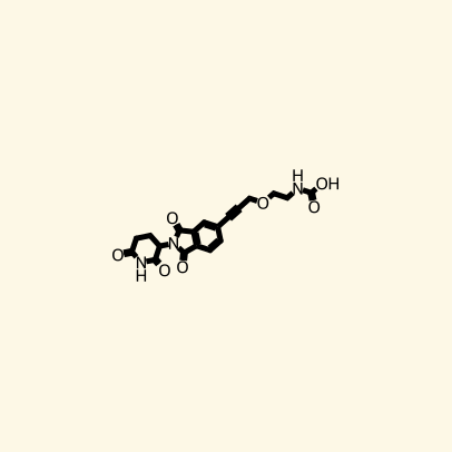 O=C(O)NCCOCC#Cc1ccc2c(c1)C(=O)N(C1CCC(=O)NC1=O)C2=O